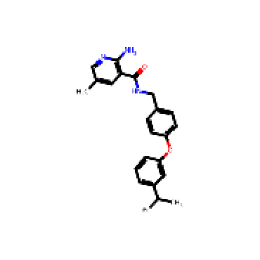 Cc1cnc(N)c(C(=O)NCc2ccc(Oc3cccc(C(C)C(C)C)c3)cc2)c1